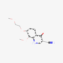 COCCOc1ccc2c(=O)c(C#N)c[nH]c2c1OC